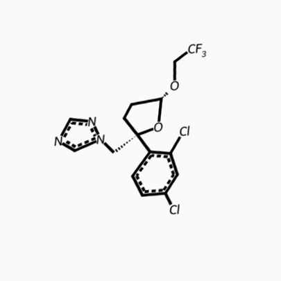 FC(F)(F)CO[C@H]1CC[C@](Cn2cncn2)(c2ccc(Cl)cc2Cl)O1